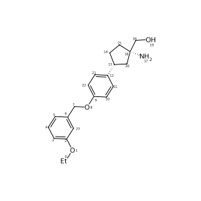 CCOc1cccc(COc2ccc([C@@H]3CC[C@@](N)(CO)C3)cc2)c1